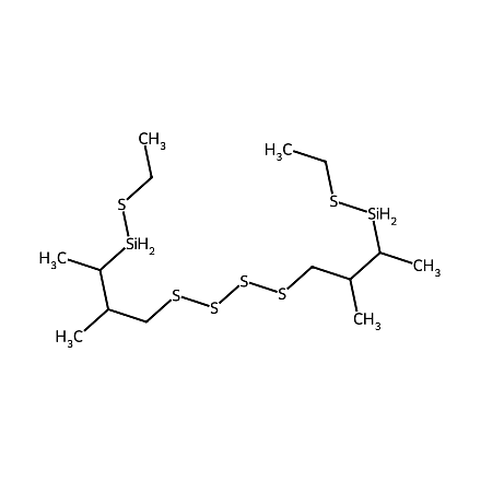 CCS[SiH2]C(C)C(C)CSSSSCC(C)C(C)[SiH2]SCC